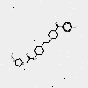 CO[C@H]1CC[C@@H](CC(=O)N[C@H]2CC[C@H](CCN3CCC(C(=O)c4ccc(F)cc4)CC3)CC2)C1